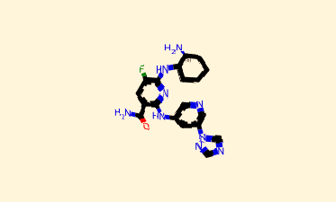 NC(=O)c1cc(F)c(NC2CCCC[C@@H]2N)nc1Nc1cncc(-n2cncn2)c1